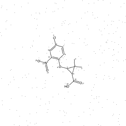 CC1(C)C(Oc2ccc(Cl)cc2[N+](=O)[O-])C1C(=O)O